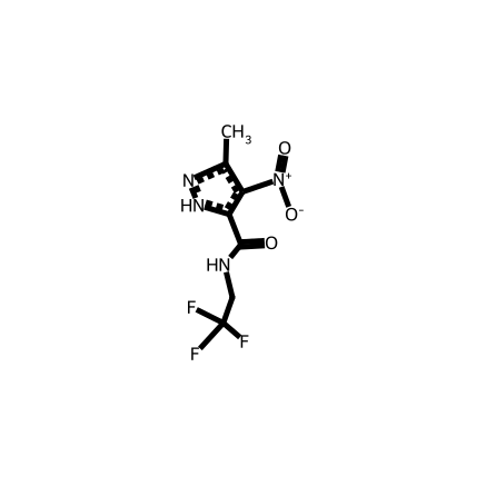 Cc1n[nH]c(C(=O)NCC(F)(F)F)c1[N+](=O)[O-]